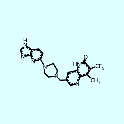 Cc1c(C(F)(F)F)c(=O)[nH]c2cc(CN3CCN(c4ccc5[nH]cnc5n4)CC3)cnc12